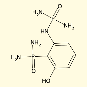 NP(N)(=O)Nc1cccc(O)c1P(N)(N)=O